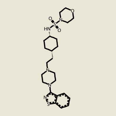 O=S(=O)(N[C@H]1CC[C@@H](CCN2CCN(c3nsc4ccccc34)CC2)CC1)N1CCOCC1